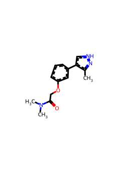 Cc1n[nH]cc1-c1c[c]cc(OCC(=O)N(C)C)c1